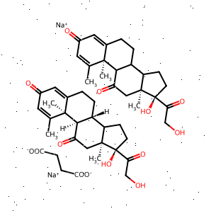 CC1=CC(=O)C=C2CCC3C(C(=O)C[C@@]4(C)C3CC[C@]4(O)C(=O)CO)[C@@]12C.CC1=CC(=O)C=C2CC[C@@H]3C4CC[C@](O)(C(=O)CO)[C@@]4(C)CC(=O)[C@H]3[C@@]12C.O=C([O-])CCC(=O)[O-].[Na+].[Na+]